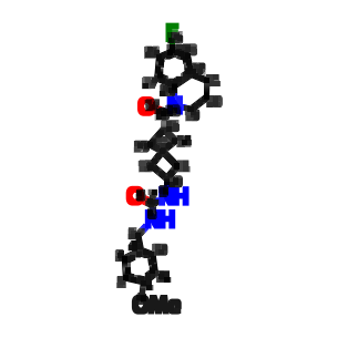 COc1ccc(CNC(=O)NC2CC3(C2)CC(C(=O)N2CCCc4cc(F)ccc42)C3)cc1